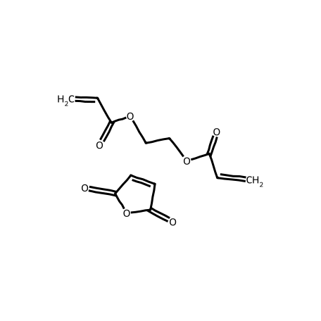 C=CC(=O)OCCOC(=O)C=C.O=C1C=CC(=O)O1